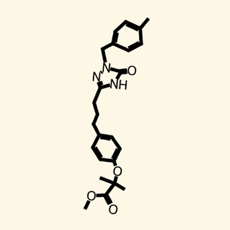 COC(=O)C(C)(C)Oc1ccc(CCCc2nn(Cc3ccc(C)cc3)c(=O)[nH]2)cc1